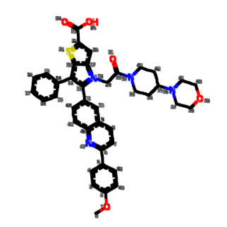 COc1ccc(-c2ccc3cc(-c4c(-c5ccccc5)c5sc(C(=O)O)cc5n4CC(=O)N4CCC(N5CCOCC5)CC4)ccc3n2)cc1